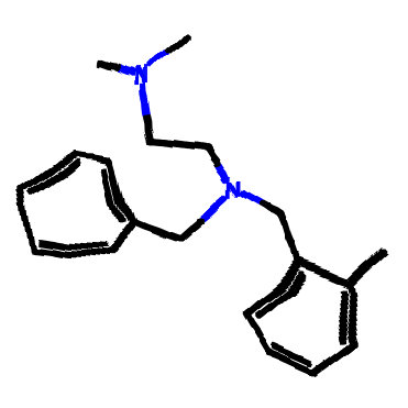 Cc1ccccc1CN(CCN(C)C)Cc1ccccc1